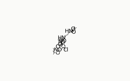 Cc1cc(C)c2cccc(OCc3c(Cl)ccc(S(=O)(=O)N4CCC[C@H]4C(=O)NCCCCCNC(=O)OC(C)(C)C)c3Cl)c2n1